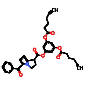 C#CCCCC(=O)Oc1cc(OC(=O)CCCC#C)cc(OC(=O)C2CCn3c(C(=O)c4ccccc4)ccc32)c1